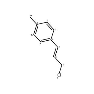 Cc1ccc(C=CCCl)cc1